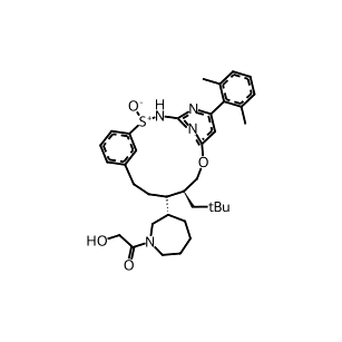 Cc1cccc(C)c1-c1cc2nc(n1)N[S+]([O-])c1cccc(c1)CCC([C@@H]1CCCCN(C(=O)CO)C1)[C@H](CC(C)(C)C)CO2